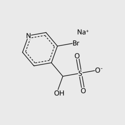 O=S(=O)([O-])C(O)c1ccncc1Br.[Na+]